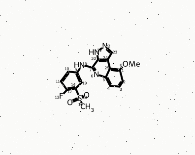 COc1cccc2nc(Nc3ccc(F)c(S(C)(=O)=O)c3)c3[nH]ncc3c12